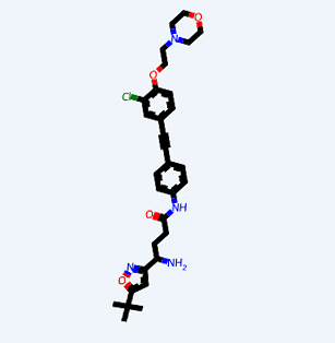 CC(C)(C)c1cc(C(N)CCC(=O)Nc2ccc(C#Cc3ccc(OCCN4CCOCC4)c(Cl)c3)cc2)no1